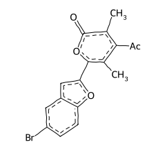 CC(=O)c1c(C)c(-c2cc3cc(Br)ccc3o2)oc(=O)c1C